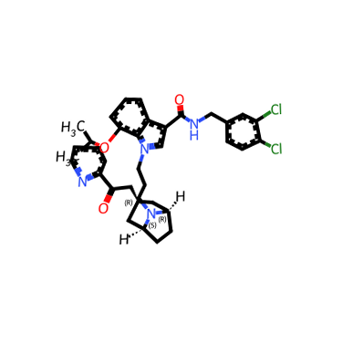 CC(C)Oc1cccc2c(C(=O)NCc3ccc(Cl)c(Cl)c3)cn(CCCN3[C@@H]4CC[C@H]3C[C@@H](CC(=O)c3ccccn3)C4)c12